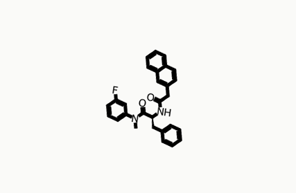 CN(C(=O)[C@H](Cc1ccccc1)NC(=O)Cc1ccc2ccccc2c1)c1cccc(F)c1